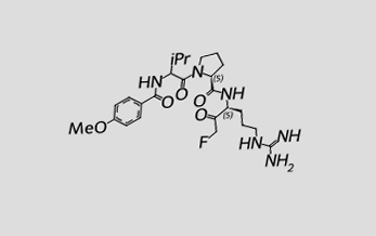 COc1ccc(C(=O)NC(C(=O)N2CCC[C@H]2C(=O)N[C@@H](CCCNC(=N)N)C(=O)CF)C(C)C)cc1